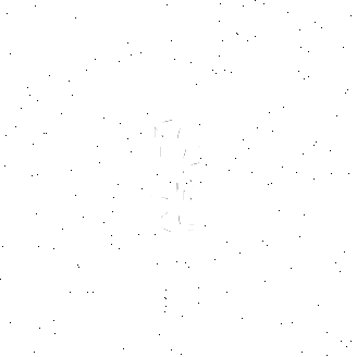 O=C(c1cccc(F)c1)c1cn(-c2cccc(-c3cccnc3F)c2)cn1